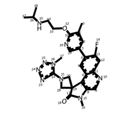 Cc1cc(-c2cc3c4c(cnc3cc2F)N(C)C(=O)C42CN(c3nnnn3C)C2)cnc1OCCNC(C)C